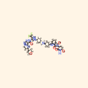 CN(C[C@H]1CC[C@H](n2cc(NC(=O)c3cnn4ccc(C5=CCOCC5)nc34)c(C(F)F)n2)CC1)[C@H]1CC[C@H](Nc2cccc3c2C(=O)N(C2CCC(=O)NC2=O)C3=O)CC1